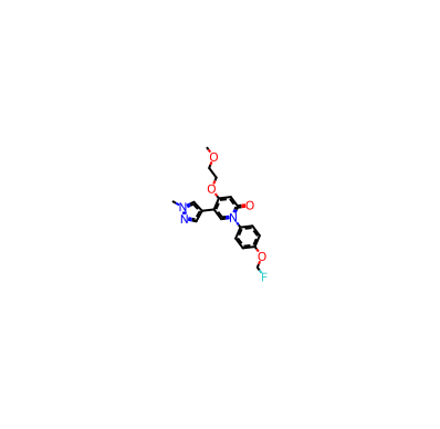 COCCOc1cc(=O)n(-c2ccc(OCF)cc2)cc1-c1cnn(C)c1